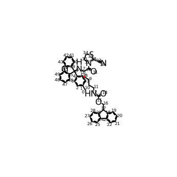 Cc1ccc(C(N[C@@H](CCCCNC(=O)OCC2c3ccccc3-c3ccccc32)C(=O)N2CCS[C@H]2C#N)(c2ccccc2)c2ccccc2Cl)cc1